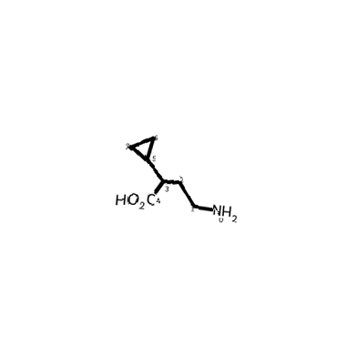 NCCC(C(=O)O)C1CC1